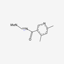 CN/C=N/C(=O)c1cnc(C)cc1C